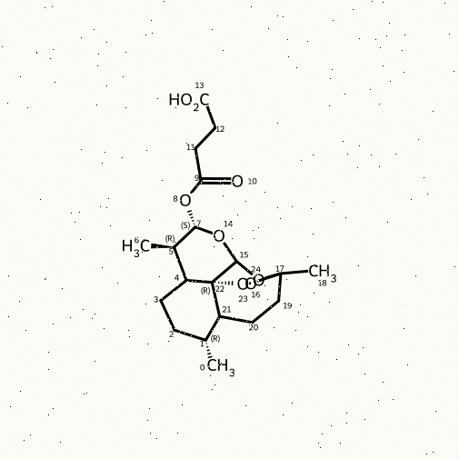 C[C@@H]1CCC2[C@@H](C)[C@H](OC(=O)CCC(=O)O)OC3OC4(C)CCC1[C@]32OO4